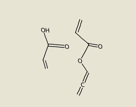 C=C=COC(=O)C=C.C=CC(=O)O